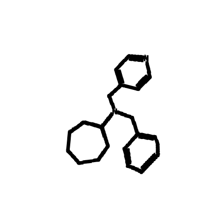 c1ccc(CN(Cc2ccncc2)C2CCCCCC2)cc1